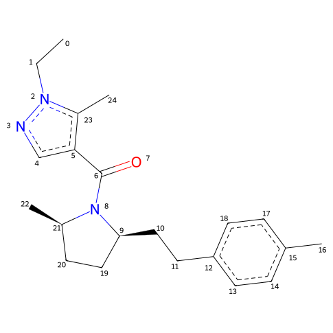 CCn1ncc(C(=O)N2[C@@H](CCc3ccc(C)cc3)CC[C@H]2C)c1C